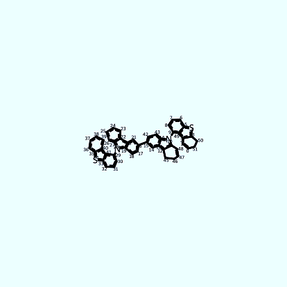 C1=Cc2c(sc3cccc(-n4c5c(c6cc(-c7ccc8c(c7)c7ccccc7n8-c7cccc8sc9ccccc9c78)ccc64)CCC=C5)c23)CC1